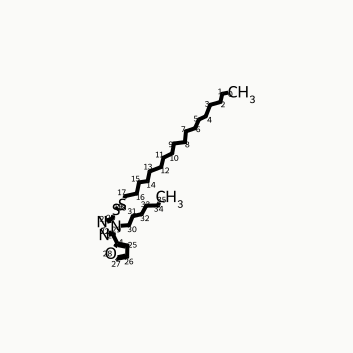 CCCCCCCCCCCCCCCCCCSSc1nnc(-c2ccco2)n1CCCCCC